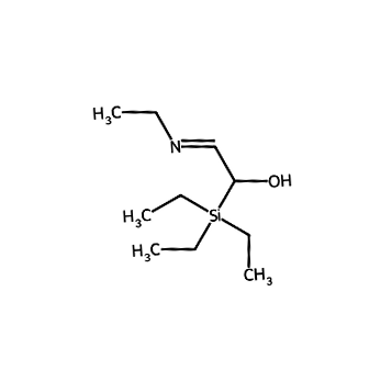 CCN=CC(O)[Si](CC)(CC)CC